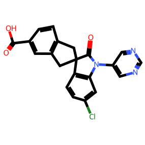 O=C(O)c1ccc2c(c1)CC1(C2)C(=O)N(c2cncnc2)c2cc(Cl)ccc21